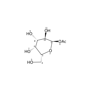 CC(=O)O[C@H]1O[C@H](CO)[C@H](O)[C@H](O)[C@H]1O